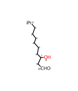 CC(C)CCCCCCC(O)C[C]=O